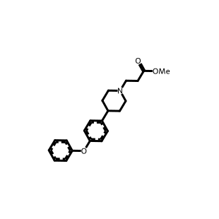 COC(=O)CCN1CCC(c2ccc(Oc3ccccc3)cc2)CC1